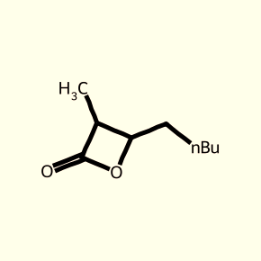 CCCCCC1OC(=O)C1C